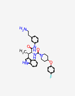 C[C@H](c1c[nH]c2ccccc12)[C@@H](NC(=O)N1CCC(Oc2ccc(F)cc2)CC1)C(=O)Nc1cccc(CCN)c1